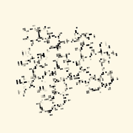 CC(C)(C)c1cc(N2c3cc4c(ccc5ccccc54)cc3B3c4cc5ccc6ccccc6c5cc4N(c4cc(C(C)(C)C)cc(C(C)(C)C)c4)c4cc(-c5ccc6sc7ccccc7c6c5)cc2c43)cc(C(C)(C)C)c1